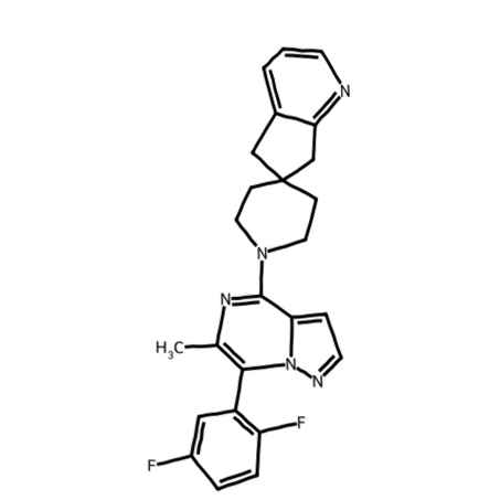 Cc1nc(N2CCC3(CC2)Cc2cccnc2C3)c2ccnn2c1-c1cc(F)ccc1F